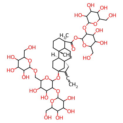 C=C=C1C[C@@]23CCC4[C@](C)(C(=O)OC5OC(CO)C(O)C(O)C5OC5OC(CO)C(O)C(O)C5O)CCC[C@@]4(C)[C@@H]2CC[C@]1(OC1OC(COC2OC(CO)C(O)C(O)C2O)C(O)C(O)C1OC1OC(CO)C(O)C(O)C1O)C3